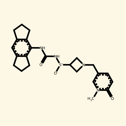 Cn1cc(CN2CC([S+]([O-])NC(=O)Nc3c4c(cc5c3CCC5)CCC4)C2)ccc1=O